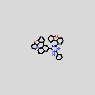 c1ccc(C2NC(c3cccc4oc5ccccc5c34)=NC(c3cc(-c4cccc5oc6cccnc6c45)c4ccccc4c3)N2)cc1